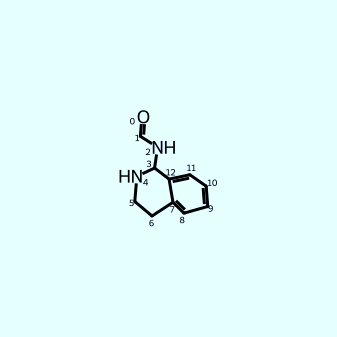 O=CNC1NCCc2ccccc21